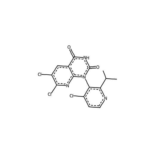 CC(C)c1nccc(Cl)c1-n1c(=O)[nH]c(=O)c2cc(Cl)c(Cl)nc21